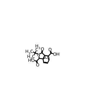 CC(C)(C)N1C(=O)C2C(C(=O)O)C3C=CC2(O3)C1C(=O)O